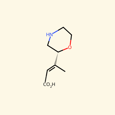 C/C(=C\C(=O)O)[C@@H]1CNCCO1